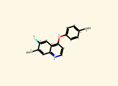 COc1cc2nccc(Oc3ccc(SC)cc3)c2cc1F